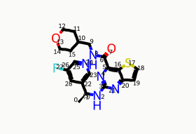 C[C@H](Nc1nc(C(=O)NCC2CCOCC2)c2sccc2n1)c1cncc(F)c1